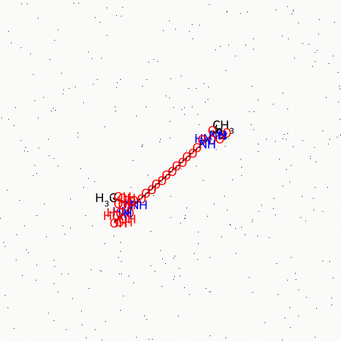 CCc1ccc(N2C(=O)C=CC2=O)cc1C(=O)NCC(=O)NCC(=O)NCCOCCOCCOCCOCCOCCOCCOCCOCCOCCOCCOCCOCCC(=O)N[C@@H](CCC(=O)NC[C@H](O)[C@@H](O)[C@H](O)[C@H](O)CO)C(=O)NC[C@H](O)[C@@H](O)[C@H](O)[C@H](O)CC